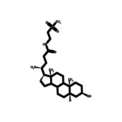 C[C@H](CCC(=O)NCCS(C)(=O)=O)[C@H]1CCC2C3CC[C@@H]4C[C@H](O)CC[C@]4(C)C3CC[C@@]21C